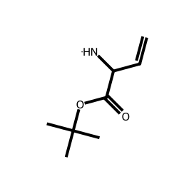 C=CC([NH])C(=O)OC(C)(C)C